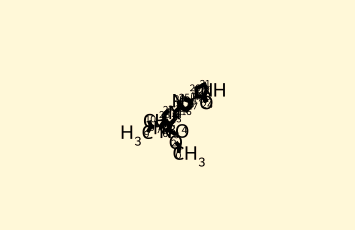 CCOC(=O)c1nn(C(C)C)c2c1CN(c1ccc([C@H]3CCNC3=O)cn1)CC2